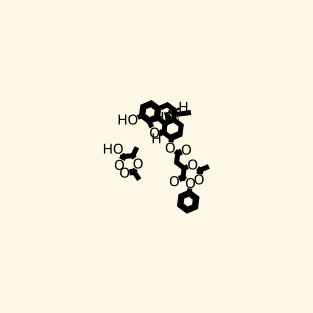 CC(=O)OC(C)C(=O)O.CC(=O)OC(CC(=O)OC1=CC[C@@]2(O)[C@H]3Cc4ccc(O)c5c4[C@@]2(CCN3C)[C@H]1O5)C(=O)Oc1ccccc1